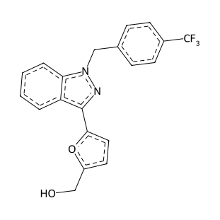 OCc1ccc(-c2nn(Cc3ccc(C(F)(F)F)cc3)c3ccccc23)o1